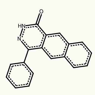 O=c1[nH]nc(-c2ccccc2)c2cc3ccccc3cc12